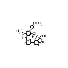 COc1cc(N2CC(OC)C2)c(Cl)cc1Nc1nccc(-c2cnc3c(c2)C(C)(CO)CN3)n1